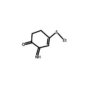 CCSC1=CC(=N)C(=O)CC1